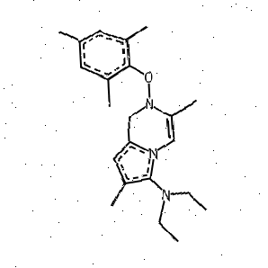 CCN(CC)c1c(C)cc2n1C=C(C)N(Oc1c(C)cc(C)cc1C)C2